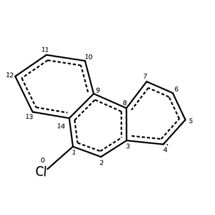 Clc1cc2[c]cccc2c2ccccc12